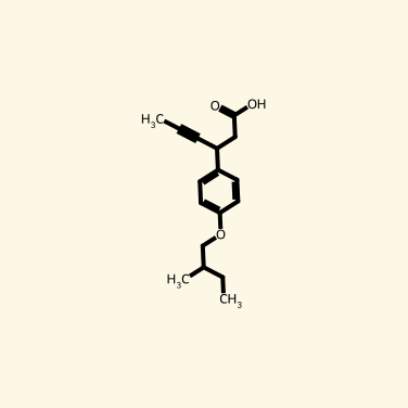 CC#CC(CC(=O)O)c1ccc(OCC(C)CC)cc1